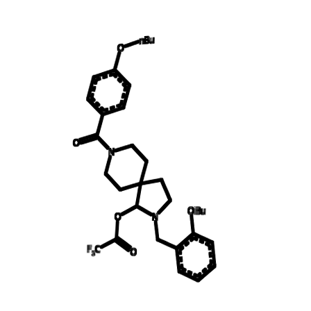 CCCCOc1ccc(C(=O)N2CCC3(CC2)CCN(Cc2ccccc2OCC(C)C)C3OC(=O)C(F)(F)F)cc1